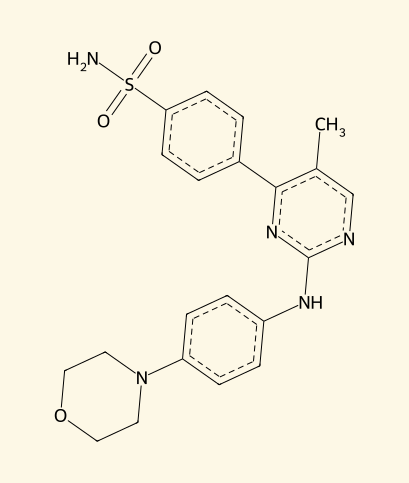 Cc1cnc(Nc2ccc(N3CCOCC3)cc2)nc1-c1ccc(S(N)(=O)=O)cc1